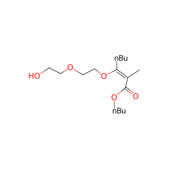 CCCCOC(=O)C(C)=C(CCCC)OCCOCCO